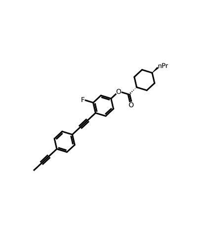 CC#Cc1ccc(C#Cc2ccc(OC(=O)[C@H]3CC[C@H](CCC)CC3)cc2F)cc1